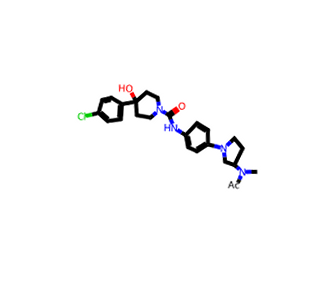 CC(=O)N(C)C1CCN(c2ccc(NC(=O)N3CCC(O)(c4ccc(Cl)cc4)CC3)cc2)C1